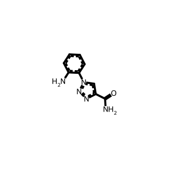 NC(=O)c1cn(-c2ccccc2N)nn1